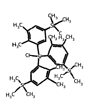 Cc1cc([Si](C)(C)C)cc([Si](Cl)(c2cc([Si](C)(C)C)cc(C)c2C)c2cc([Si](C)(C)C)cc(C)c2C)c1C